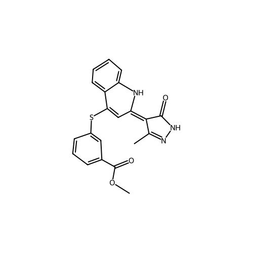 COC(=O)c1cccc(SC2=CC(=C3C(=O)NN=C3C)Nc3ccccc32)c1